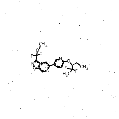 CCOC(F)(F)c1nnc2cnc(-c3ccc(O[C@@H](CC)C(C)(F)F)nc3)cn12